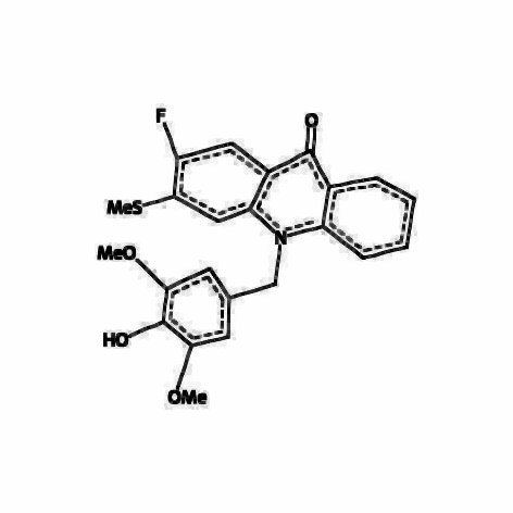 COc1cc(Cn2c3ccccc3c(=O)c3cc(F)c(SC)cc32)cc(OC)c1O